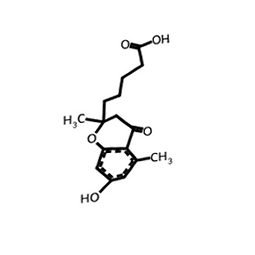 Cc1cc(O)cc2c1C(=O)CC(C)(CCCCC(=O)O)O2